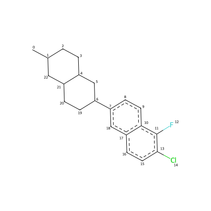 CC1CCC2CC(c3ccc4c(F)c(Cl)ccc4c3)CCC2C1